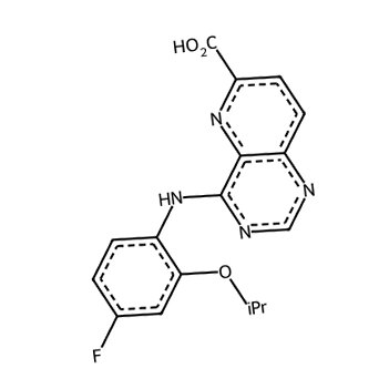 CC(C)Oc1cc(F)ccc1Nc1ncnc2ccc(C(=O)O)nc12